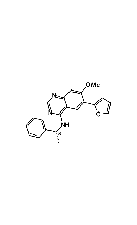 COc1cc2ncnc(N[C@H](C)c3ccccc3)c2cc1-c1ccco1